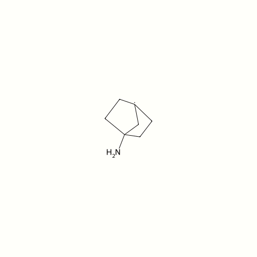 NC12CC[C](CC1)C2